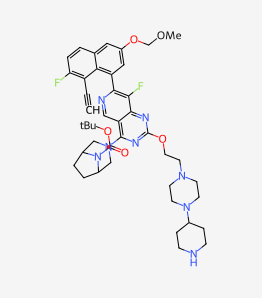 C#Cc1c(F)ccc2cc(OCOC)cc(-c3ncc4c(N5CC6CCC(C5)N6C(=O)OC(C)(C)C)nc(OCCN5CCN(C6CCNCC6)CC5)nc4c3F)c12